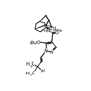 CO[C@]12CC3CC(C1)[C@@H](NC(=O)c1cnn(/C=C/C(C)(C)C(C)=O)c1OCC(C)C)C(C3)C2